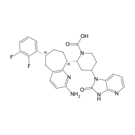 Nc1ccc2c(n1)[C@@H](C1CC(n3c(=O)[nH]c4ncccc43)CCN1C(=O)O)CC[C@@H](c1cccc(F)c1F)C2